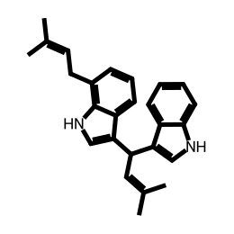 CC(C)=CCc1cccc2c(C(C=C(C)C)c3c[nH]c4ccccc34)c[nH]c12